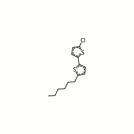 CCCCCCc1ccc(-c2ccc(Cl)s2)s1